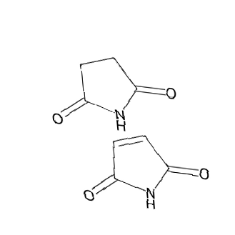 O=C1C=CC(=O)N1.O=C1CCC(=O)N1